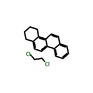 ClCCCl.c1ccc2c(c1)ccc1c3c(ccc12)CCCC3